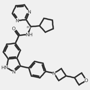 O=C(N[C@@H](c1ncccn1)C1CCCC1)c1ccc2[nH]nc(-c3ccc(N4CC(C5COC5)C4)cc3)c2c1